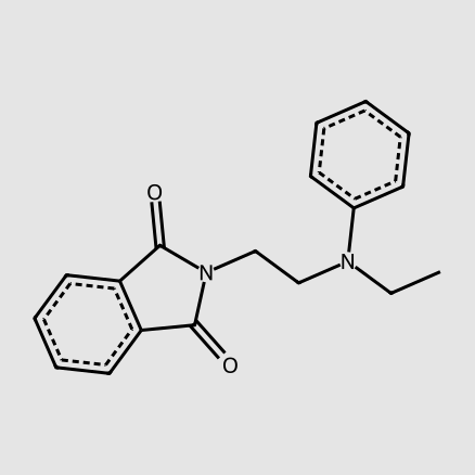 CCN(CCN1C(=O)c2ccccc2C1=O)c1ccccc1